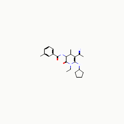 CCN1C(=O)C(NC(=O)c2cccc(C)c2)C(C)C(C(C)=N)=C1NC1CCCC1